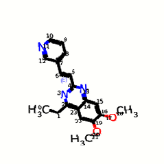 CCc1nc(/C=C/c2cccnc2)nc2cc(OC)c(OC)cc12